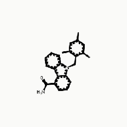 Cc1cc(C)c(Cn2c3ccc[c]c3c3c(C(N)=O)cccc32)c(C)c1